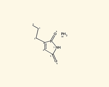 CCCC1=CC(=O)NC1=O.P